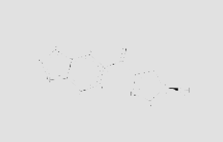 O=C([C@@H]1C[C@@H](O)CN1)n1ccc2nncc-2c1